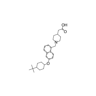 CC(C)(C)C1CCC(Oc2ccc3c(CN4CCC(CC(=O)O)CC4)cccc3c2)CC1